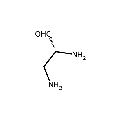 NC[C@@H](N)C=O